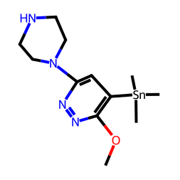 COc1nnc(N2CCNCC2)c[c]1[Sn]([CH3])([CH3])[CH3]